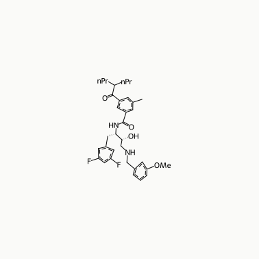 CCCC(CCC)C(=O)c1cc(C)cc(C(=O)N[C@@H](Cc2cc(F)cc(F)c2)[C@H](O)CNCc2cccc(OC)c2)c1